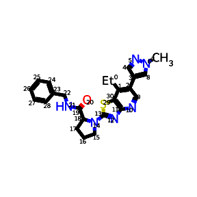 CCc1c(-c2cnn(C)c2)cnc2nc(N3CCCC3C(=O)NCc3ccccc3)sc12